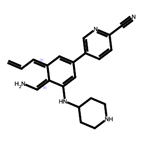 C=C/C=c1/cc(-c2ccc(C#N)nc2)cc(NC2CCNCC2)/c1=C/N